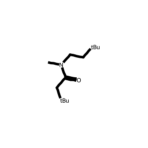 CN(CCC(C)(C)C)C(=O)CC(C)(C)C